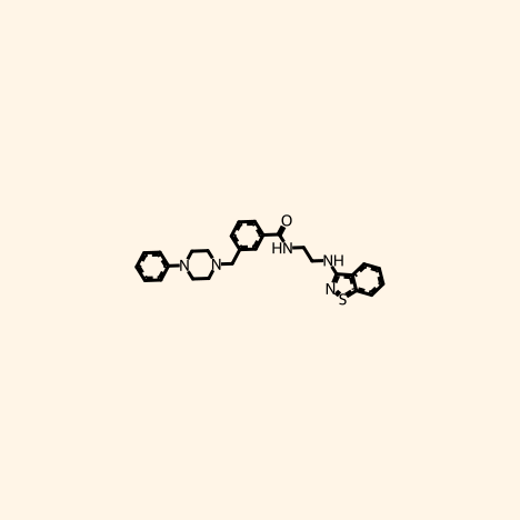 O=C(NCCNc1nsc2ccccc12)c1cccc(CN2CCN(c3ccccc3)CC2)c1